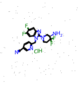 Cl.N#Cc1ccc(Cn2c(N3CCC(F)(F)[C@H](N)C3)nc3cc(F)c(F)cc32)nc1